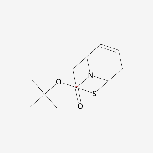 CC(C)(C)OC(=O)N1C2C=CCC1SCC2